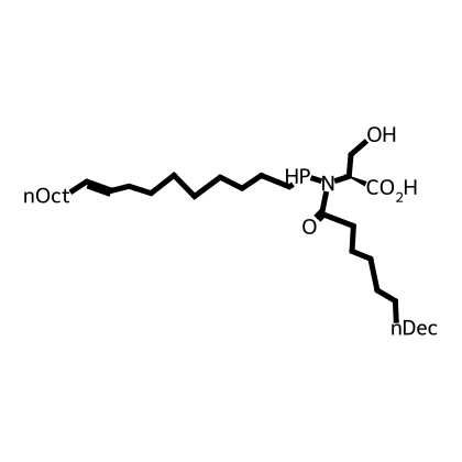 CCCCCCCCC=CCCCCCCCCPN(C(=O)CCCCCCCCCCCCCCC)[C@@H](CO)C(=O)O